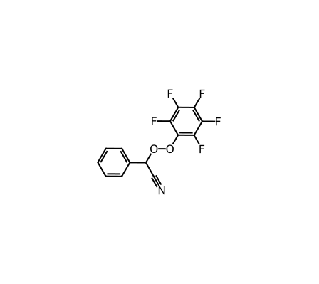 N#CC(OOc1c(F)c(F)c(F)c(F)c1F)c1ccccc1